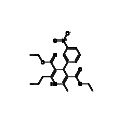 CCCC1=C(C(=O)OCC)C(c2cccc([N+](=O)[O-])c2)C(C(=O)OCC)=C(C)N1